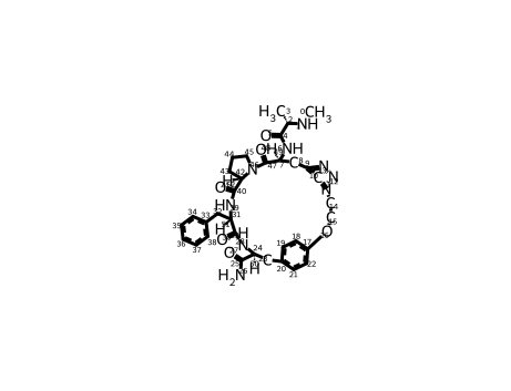 CN[C@@H](C)C(=O)N[C@H]1Cc2cn(nn2)CCOc2ccc(cc2)C[C@@H](C(N)=O)NC(=O)[C@H](Cc2ccccc2)NC(=O)[C@@H]2CCCN2C1=O